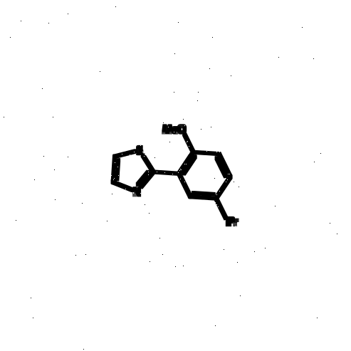 COc1ccc(C(C)C)cc1-c1nccs1